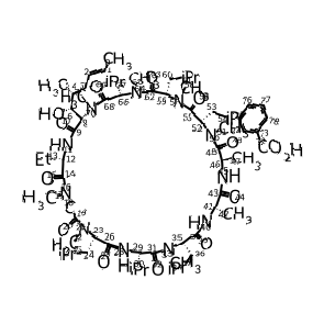 CC=CC[C@@H](C)[C@@H](O)[C@H]1C(=O)N[C@@H](CC)C(=O)N(C)CC(=O)N(C)[C@@H](CC(C)C)C(=O)N[C@@H](C(C)C)C(=O)N(C)[C@@H](CC(C)C)C(=O)N[C@@H](C)C(=O)N[C@H](C)C(=O)N(C)[C@@H](CC(C)C)C(=O)N(C)[C@@H](CC(C)C)C(=O)N(C)[C@@H](C(C)C)C(=O)N1C.O=C(O)c1ccccc1